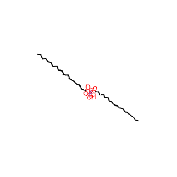 CCCCCCCCC=CCCCCCCCC(=O)OP(=O)(O)OC(=O)CCCCCCCC=CCCCCCCCC